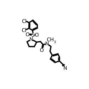 CN(CCc1ccc(C#N)cc1)C(=O)CC1CCCN1S(=O)(=O)c1cccc(Cl)c1Cl